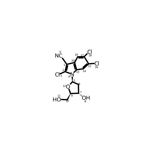 N#Cc1c(Cl)n([C@H]2C[C@H](O)[C@@H](CO)O2)c2cc(Cl)c(Cl)cc12